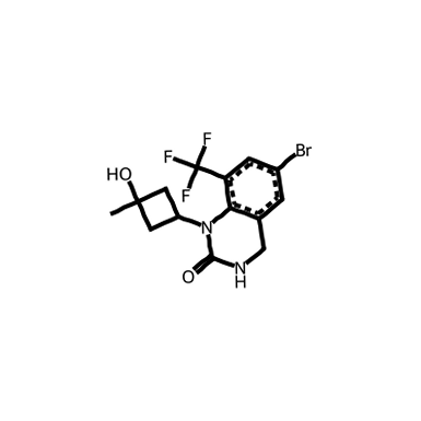 CC1(O)CC(N2C(=O)NCc3cc(Br)cc(C(F)(F)F)c32)C1